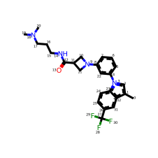 Cc1cn(-c2cccc(N3CC(C(=O)NCCCN(C)C)C3)c2)c2ccc(C(F)(F)F)cc12